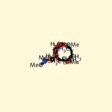 COCCn1cc(CO[C@@H]2CC[C@@H](C[C@@H](C)[C@@H]3CC(=O)[C@H](C)/C=C(\C)[C@@H](O)[C@@H](OC)C(=O)[C@H](C)C[C@H](C)/C=C/C=C/C=C(\C)[C@@H](OC)C[C@@H]4CC[C@@H](C)[C@@](O)(O4)C(=O)C(=O)N4CCCC[C@H]4C(=O)O3)C[C@H]2OC)nn1